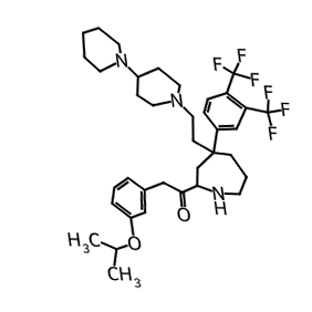 CC(C)Oc1cccc(CC(=O)C2CC(CCN3CCC(N4CCCCC4)CC3)(c3ccc(C(F)(F)F)c(C(F)(F)F)c3)CCCN2)c1